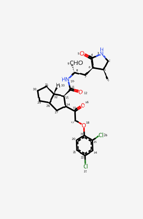 C[C@@H]1CNC(=O)[C@@H]1C[C@@H](C=O)NC(=O)[C@H]1C(C(=O)COc2ccc(Cl)cc2Cl)CC2CCC[C@@H]21